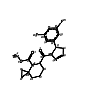 CC(C)(C)OC(=O)N1C(C(=O)N2N=CCC2c2cc(F)cc(F)c2)CCCC12CC2